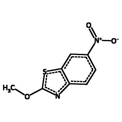 COc1nc2ccc([N+](=O)[O-])cc2s1